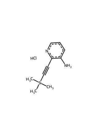 C[Si](C)(C)C#Cc1ncccc1N.Cl